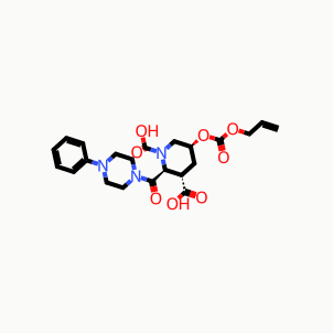 C=CCOC(=O)O[C@H]1C[C@H](C(=O)O)[C@@H](C(=O)N2CCN(c3ccccc3)CC2)N(C(=O)O)C1